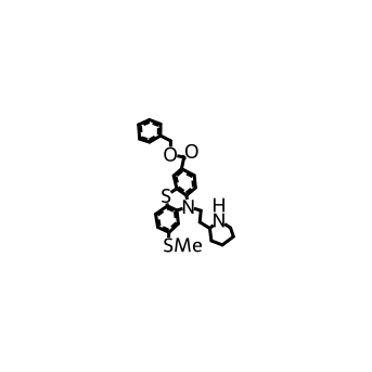 CSc1ccc2c(c1)N(CCC1CCCCN1)c1ccc(C(=O)OCc3ccccc3)cc1S2